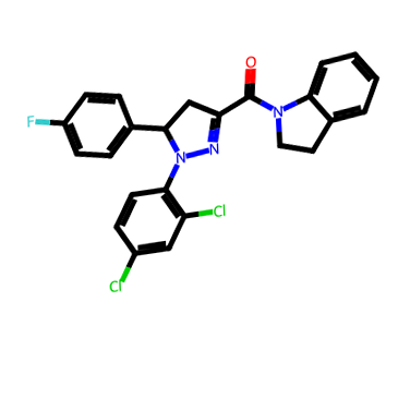 O=C(C1=NN(c2ccc(Cl)cc2Cl)C(c2ccc(F)cc2)C1)N1CCc2ccccc21